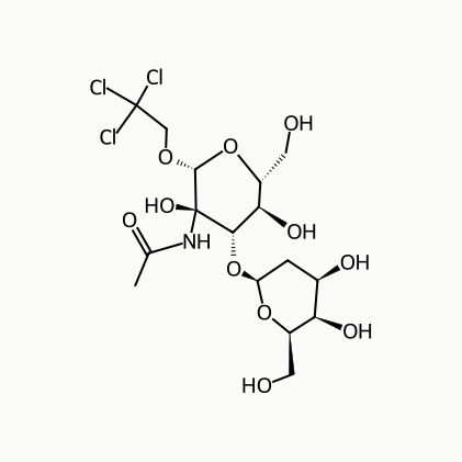 CC(=O)N[C@]1(O)[C@H](OCC(Cl)(Cl)Cl)O[C@H](CO)[C@@H](O)[C@@H]1O[C@H]1C[C@@H](O)[C@@H](O)[C@@H](CO)O1